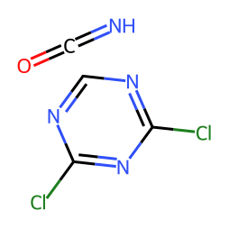 Clc1ncnc(Cl)n1.N=C=O